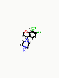 Clc1ccc2c(c1Cl)OCCC2N1CCNCC1